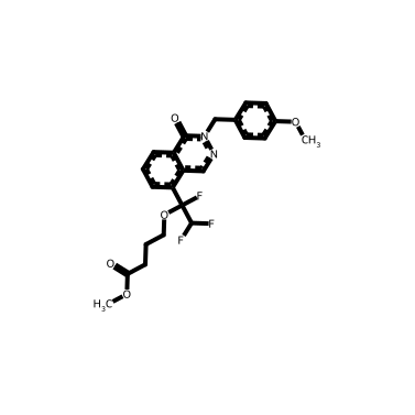 COC(=O)CCCOC(F)(c1cccc2c(=O)n(Cc3ccc(OC)cc3)ncc12)C(F)F